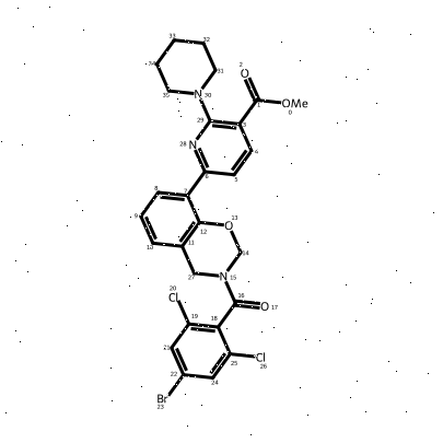 COC(=O)c1ccc(-c2cccc3c2OCN(C(=O)c2c(Cl)cc(Br)cc2Cl)C3)nc1N1CCCCC1